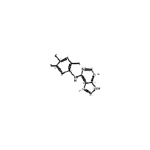 Cc1cc(C)c(Nc2ncnc3[nH]cnc23)cc1C